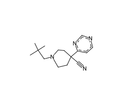 CC(C)(C)CN1CCC(C#N)(c2ccncn2)CC1